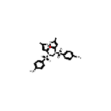 Cc1cc(N(CN(c2cc(C)on2)S(=O)(=O)c2ccc(N)cc2)S(=O)(=O)c2ccc(N)cc2)no1